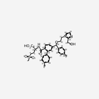 CS(=O)(=O)CC[C@H](NC(=O)c1ccc(C(OCCn2ccnc2CO)c2ccc(F)cc2)cc1-c1ccc(F)cc1)C(=O)O